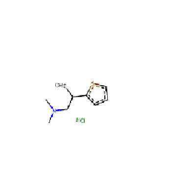 CN(C)CC(C=O)c1cccs1.Cl